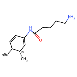 CCCCC1C=CC(NC(=O)CCCCN)=C[C@@H]1C